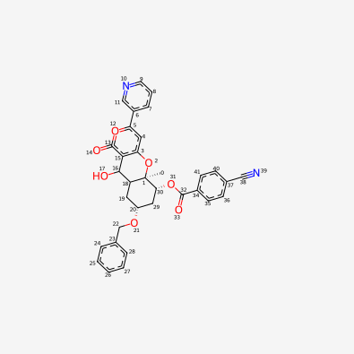 C[C@@]12Oc3cc(-c4cccnc4)oc(=O)c3C(O)C1C[C@@H](OCc1ccccc1)C[C@H]2OC(=O)c1ccc(C#N)cc1